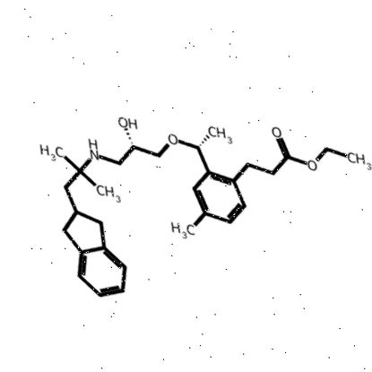 CCOC(=O)CCc1ccc(C)cc1[C@@H](C)OC[C@@H](O)CNC(C)(C)CC1Cc2ccccc2C1